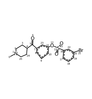 CN1CCC(C(=O)c2cccc(OS(=O)(=O)c3cccc(Br)c3)c2)CC1